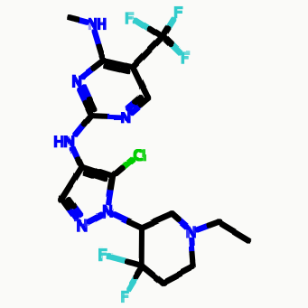 CCN1CCC(F)(F)C(n2ncc(Nc3ncc(C(F)(F)F)c(NC)n3)c2Cl)C1